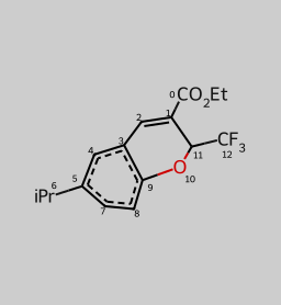 CCOC(=O)C1=Cc2cc(C(C)C)ccc2OC1C(F)(F)F